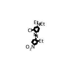 CCc1cc([N+](=O)[O-])ccc1N=Nc1ccc(N(CC)CC)cc1Cl